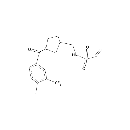 C=CS(=O)(=O)NCC1CCN(C(=O)c2ccc(C)c(C(F)(F)F)c2)C1